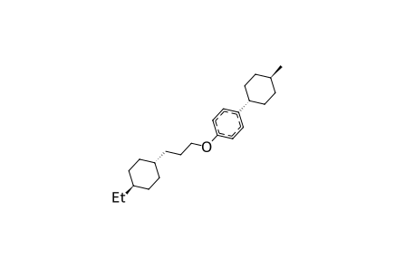 CC[C@H]1CC[C@H](CCCOc2ccc([C@H]3CC[C@H](C)CC3)cc2)CC1